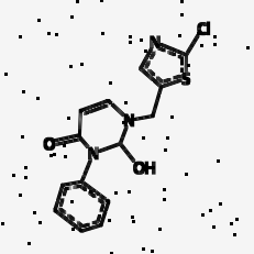 O=C1C=CN(Cc2cnc(Cl)s2)C(O)N1c1ccccc1